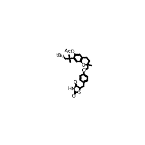 CC(=O)Oc1cc2c(cc1C(C)(C)CC(C)(C)C)OC(C)(COc1ccc(CC3SC(=O)NC3=O)cc1)CC2